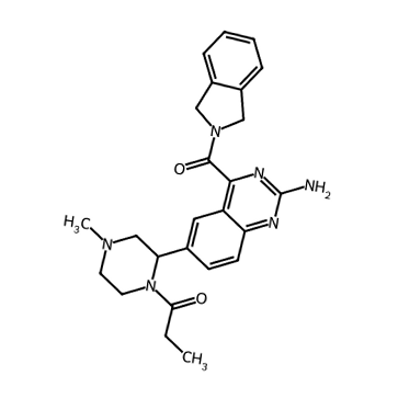 CCC(=O)N1CCN(C)CC1c1ccc2nc(N)nc(C(=O)N3Cc4ccccc4C3)c2c1